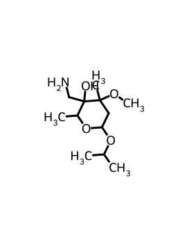 COC1(C)CC(OC(C)C)OC(C)C1(O)CN